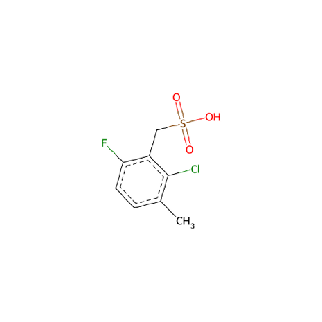 Cc1ccc(F)c(CS(=O)(=O)O)c1Cl